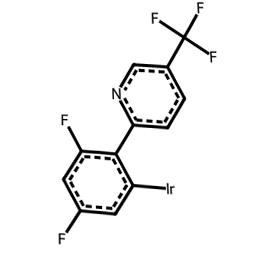 Fc1cc(F)c(-c2ccc(C(F)(F)F)cn2)[c]([Ir])c1